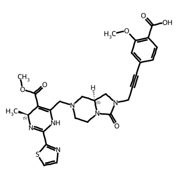 COC(=O)C1=C(CN2CCN3C(=O)N(CC#Cc4ccc(C(=O)O)c(OC)c4)C[C@@H]3C2)NC(c2nccs2)=N[C@H]1C